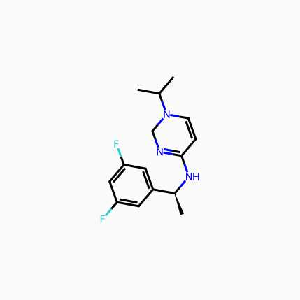 CC(C)N1C=CC(N[C@@H](C)c2cc(F)cc(F)c2)=NC1